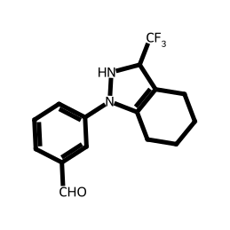 O=Cc1cccc(N2NC(C(F)(F)F)C3=C2CCCC3)c1